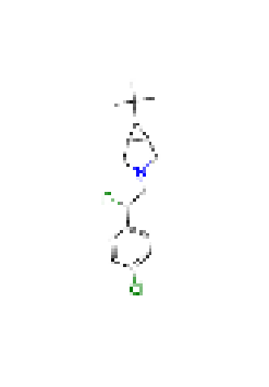 CC(C)(C)C1C2CN(CC(F)c3ccc(Cl)cc3)CC21